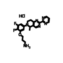 CC1c2cnc(-c3ncccn3)nc2CCN1c1cc(F)c(F)c(OCCCN)c1.Cl